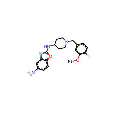 CCOc1cc(CN2CCC(Nc3nc4cc(N)ccc4o3)CC2)ccc1F